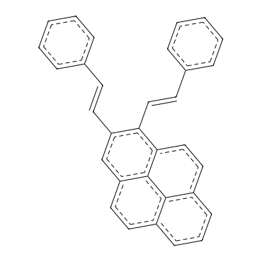 C(=Cc1cc2ccc3cccc4ccc(c1C=Cc1ccccc1)c2c34)c1ccccc1